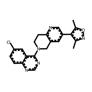 Cc1noc(C)c1-c1cnc2c(c1)CN(c1ncnc3ccc(Cl)cc13)CC2